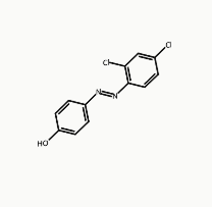 Oc1ccc(N=Nc2ccc(Cl)cc2Cl)cc1